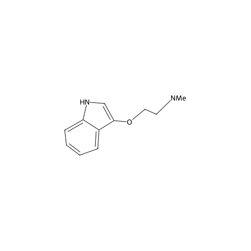 CNCCOc1c[nH]c2ccccc12